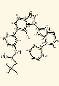 CC(C)(C)CC(O)Nc1cncc(-c2cnc3[nH]nc(-c4nc5c(-c6ccccn6)nccc5[nH]4)c3c2F)c1